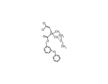 CC1(C)C(C=C(Cl)Cl)C1C(=O)OCc1cccc(Oc2ccccc2)c1.CCOCC